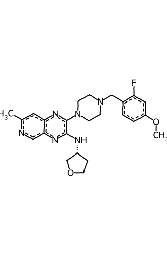 COc1ccc(CN2CCN(c3nc4cc(C)ncc4nc3N[C@@H]3CCOC3)CC2)c(F)c1